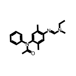 CCN(C)C=Nc1cc(C)c(N(C(C)=O)c2ccccc2)cc1C